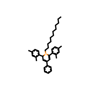 CCCCCCCCCCCCP1C(c2ccc(C)cc2C)=CC(c2ccccc2)=CC1c1ccc(C)cc1C